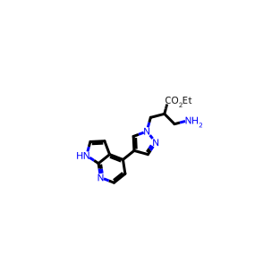 CCOC(=O)C(CN)Cn1cc(-c2ccnc3[nH]ccc23)cn1